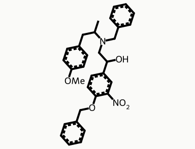 COc1ccc(CC(C)N(Cc2ccccc2)CC(O)c2ccc(OCc3ccccc3)c([N+](=O)[O-])c2)cc1